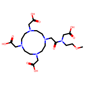 COCCN(CC(=O)O)C(=O)CN1CCN(CC(=O)O)CCN(CC(=O)O)CCN(CC(=O)O)CC1